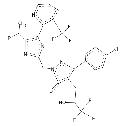 CC(F)c1nc(Cn2nc(-c3ccc(Cl)cc3)n(CC(O)C(F)(F)F)c2=O)nn1-c1ncccc1C(F)(F)F